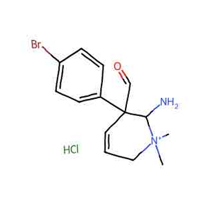 C[N+]1(C)CC=CC(C=O)(c2ccc(Br)cc2)C1N.Cl